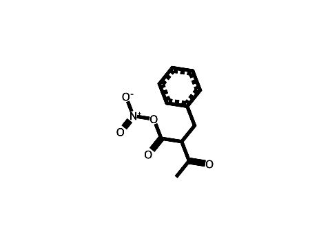 CC(=O)C(Cc1ccccc1)C(=O)O[N+](=O)[O-]